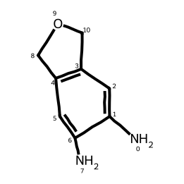 Nc1cc2c(cc1N)COC2